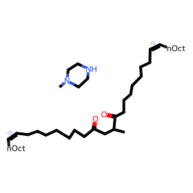 CCCCCCCC/C=C\CCCCCCCC(=O)CC(C)C(=O)CCCCCCC/C=C\CCCCCCCC.CN1CCNCC1